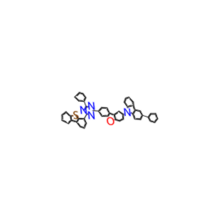 c1ccc(-c2ccc3c(c2)c2ccccc2n3-c2ccc3oc4cc(-c5nc(-c6ccccc6)nc(-c6cccc7c6sc6ccccc67)n5)ccc4c3c2)cc1